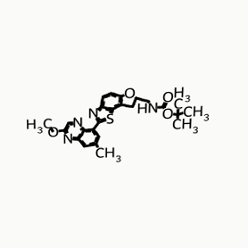 COc1cnc2c(-c3nc4ccc5c(c4s3)CC(CNC(=O)OC(C)(C)C)O5)cc(C)cc2n1